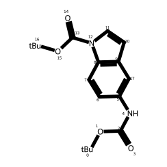 CC(C)(C)OC(=O)Nc1ccc2c(ccn2C(=O)OC(C)(C)C)c1